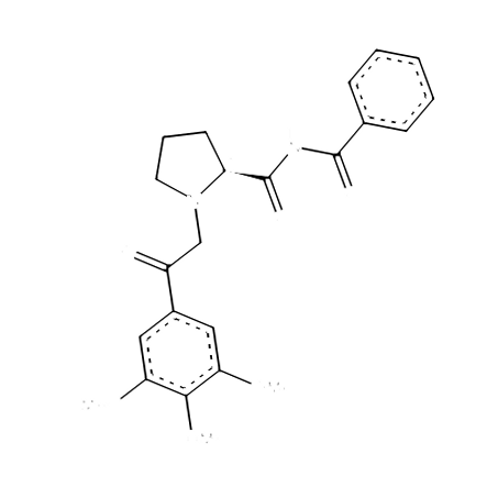 COc1cc(C(=O)CN2CCC[C@H]2C(=O)NC(=O)c2ccccc2)cc(OC)c1OC